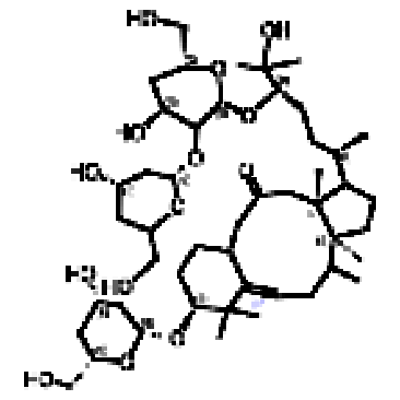 CC1C/C=C2\C(CC[C@H](O[C@H]3C[C@@H](O)C[C@@H](CO)O3)C2(C)C)CC(=O)C[C@]2(C)C([C@H](C)CC[C@@H](O[C@@H]3O[C@H](CO)C[C@H](O)C3O[C@H]3C[C@@H](O)CC(CO)O3)C(C)(C)O)CC[C@@]12C